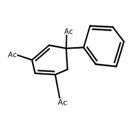 CC(=O)C1=CC(C(C)=O)(c2ccccc2)CC(C(C)=O)=C1